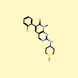 Cn1c(=O)c(-c2ccccc2Cl)cc2cnc(NC3CC[S+]([O-])CC3)nc21